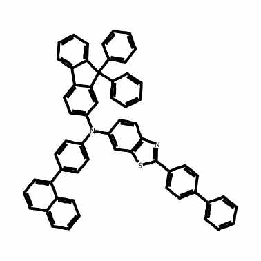 c1ccc(-c2ccc(-c3nc4ccc(N(c5ccc(-c6cccc7ccccc67)cc5)c5ccc6c(c5)C(c5ccccc5)(c5ccccc5)c5ccccc5-6)cc4s3)cc2)cc1